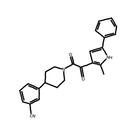 Cc1[nH]c(-c2ccccc2)cc1C(=O)C(=O)N1CCC(c2cccc(C#N)c2)CC1